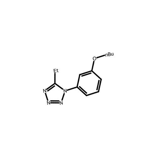 CCCCOc1cccc(-n2nnnc2CC)c1